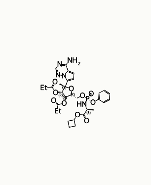 CCC(=O)O[C@H]1[C@@H](OC(=O)CC)[C@](C)(c2ccc3c(N)ncnn23)O[C@@H]1COP(=O)(N[C@@H](C)C(=O)OC1CCC1)Oc1ccccc1